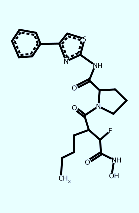 CCCCC(C(=O)N1CCCC1C(=O)Nc1nc(-c2ccccc2)cs1)C(F)C(=O)NO